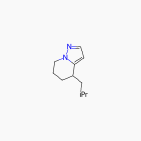 CC(C)CC1CCCn2nccc21